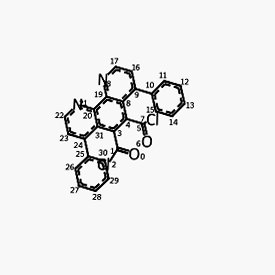 O=C(Cl)c1c(C(=O)Cl)c2c(-c3ccccc3)ccnc2c2nccc(-c3ccccc3)c12